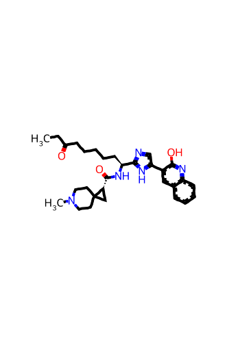 CCC(=O)CCCCC[C@H](NC(=O)[C@@H]1CC12CCN(C)CC2)c1ncc(-c2cc3ccccc3nc2O)[nH]1